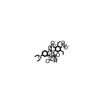 CCc1c(O[PH](=O)O)c(N=Nc2ccc(N(CC)CC)cc2NC(C)=O)c([N+](=O)[O-])c(CC)c1[N+](=O)[O-]